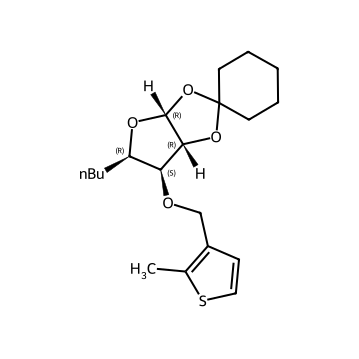 CCCC[C@H]1O[C@@H]2OC3(CCCCC3)O[C@@H]2[C@H]1OCc1ccsc1C